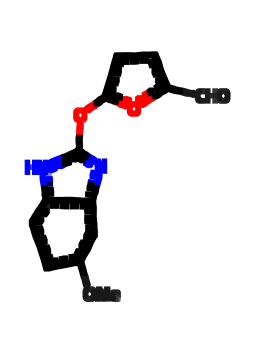 COc1ccc2[nH]c(Oc3ccc(C=O)o3)nc2c1